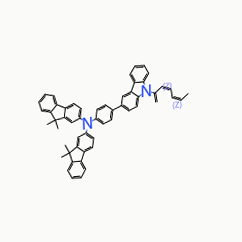 C=C(/C=C\C=C/C)n1c2ccccc2c2cc(-c3ccc(N(c4ccc5c(c4)C(C)(C)c4ccccc4-5)c4ccc5c(c4)C(C)(C)c4ccccc4-5)cc3)ccc21